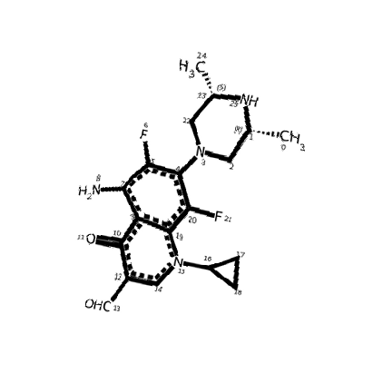 C[C@@H]1CN(c2c(F)c(N)c3c(=O)c(C=O)cn(C4CC4)c3c2F)C[C@H](C)N1